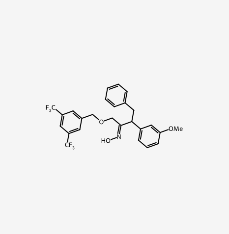 COc1cccc(C(Cc2ccccc2)C(COCc2cc(C(F)(F)F)cc(C(F)(F)F)c2)=NO)c1